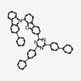 c1ccc(-c2ccc(-c3nc(-c4ccc(-c5ccccc5)cc4)nc(-c4ccc5c(c4)oc4c(-n6c7ccccc7c7ccc(-c8ccccc8)cc76)cccc45)n3)cc2)cc1